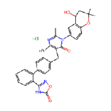 CCCc1nc(C)n(-c2ccc3c(c2)C(O)CC(C)(C)O3)c(=O)c1Cc1ccc(-c2ccccc2-c2noc(=O)[nH]2)cc1.Cl